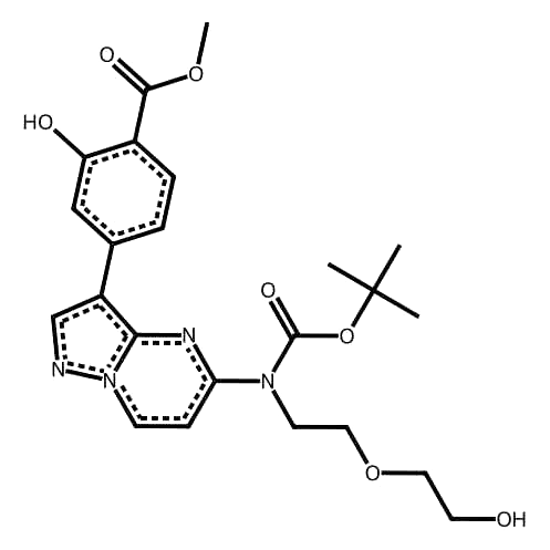 COC(=O)c1ccc(-c2cnn3ccc(N(CCOCCO)C(=O)OC(C)(C)C)nc23)cc1O